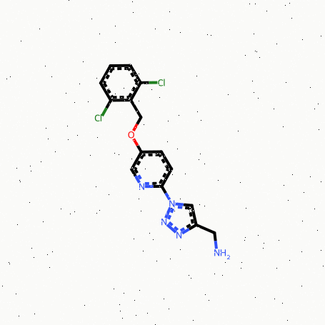 NCc1cn(-c2ccc(OCc3c(Cl)cccc3Cl)cn2)nn1